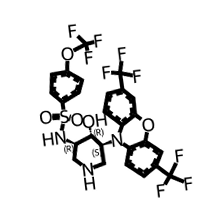 O=S(=O)(N[C@@H]1CNC[C@H](N2c3ccc(C(F)(F)F)cc3Oc3cc(C(F)(F)F)ccc32)[C@H]1O)c1ccc(OC(F)(F)F)cc1